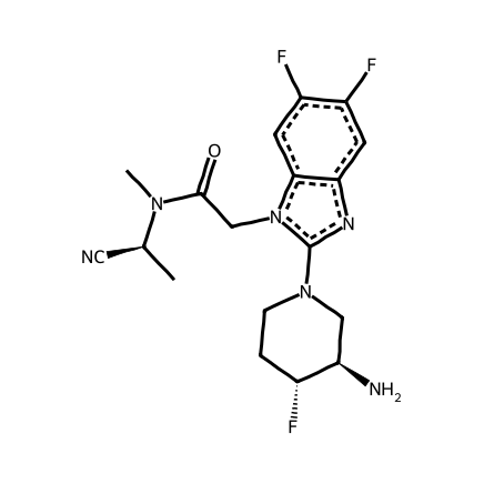 C[C@@H](C#N)N(C)C(=O)Cn1c(N2CC[C@@H](F)[C@H](N)C2)nc2cc(F)c(F)cc21